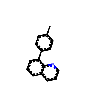 Cc1ccc(-c2cccc3cccnc23)cc1